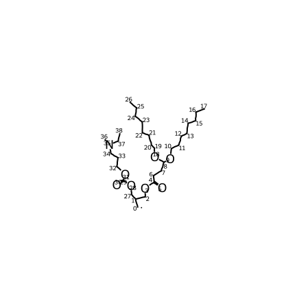 [CH2]C(COC(=O)CCC(OCCCCCCCC)OCCCCCCCC)COC(=O)OCCCN(C)CC